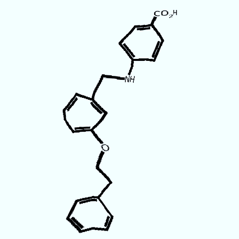 O=C(O)c1ccc(NCc2cccc(OCCc3ccccc3)c2)cc1